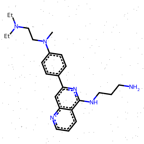 CCN(CC)CCN(C)c1ccc(-c2cc3ncccc3c(NCCCN)n2)cc1